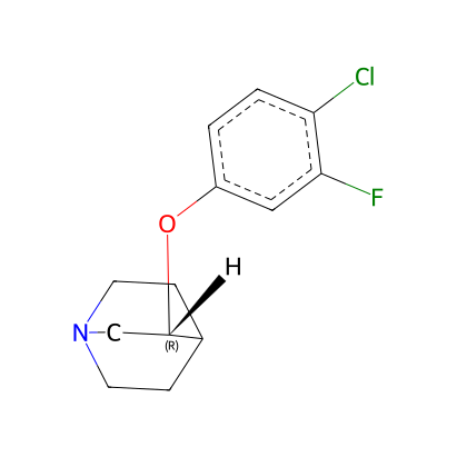 Fc1cc(O[C@H]2CN3CCC2CC3)ccc1Cl